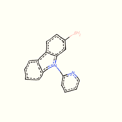 Bc1ccc2c3ccccc3n(-c3ccccn3)c2c1